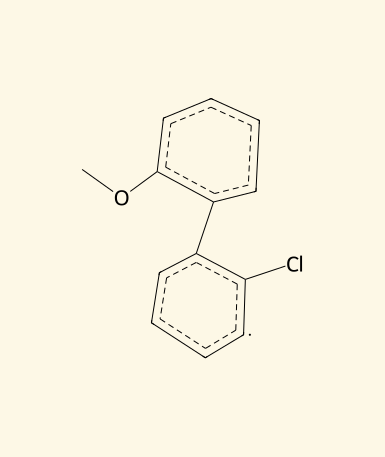 COc1ccccc1-c1ccc[c]c1Cl